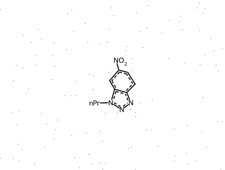 CCCn1nnc2ccc([N+](=O)[O-])cc21